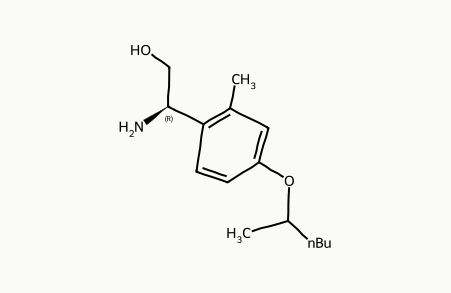 CCCCC(C)Oc1ccc([C@@H](N)CO)c(C)c1